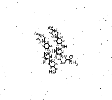 CC(=O)N1CCN(c2ccc(Nc3ncc(F)c(N4CCC(CO)CC4)n3)cc2)CC1.CC(=O)N1CCN(c2ccc(Nc3ncc(F)c(N4CCCC(C(N)=O)C4)n3)cc2)CC1